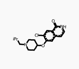 CC(C)CN1CCC(Oc2cc3cc[nH]c(=O)c3cc2Cl)CC1